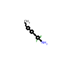 CCCCc1ccc(-c2ccc(C#Cc3cc(F)c(C#CN)c(F)c3)cc2)cc1